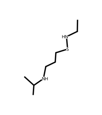 CCNSCCCNC(C)C